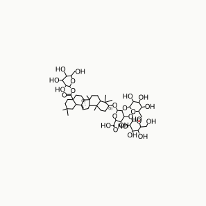 CC1(C)CCC2(C(=O)OC3OC(CO)C(O)C(O)C3O)CC[C@]3(C)C(=CCC4C5(C)CC[C@H](OC6OC(C(=O)O)C(O)C(OC7OC(CO)C(O)C(O)C7O)C6OC6OC(CO)C(O)C(O)C6O)C(C)(C)C5CCC43C)C2C1